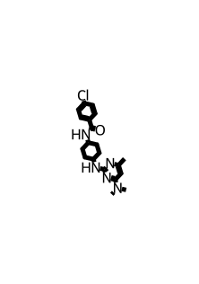 Cc1cc(N(C)C)nc(NC2CCC(NC(=O)c3ccc(Cl)cc3)CC2)n1